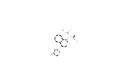 CCOC(=O)c1cnn(-c2cnc(N(C(=O)OC(C)(C)C)C(O)OC(C)(C)C)c3ccccc23)c1C(F)(F)F